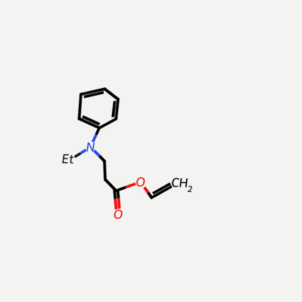 C=COC(=O)CCN(CC)c1ccccc1